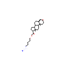 CC12CCC(=O)C=C1CCC1C2CCC2(C)C(C(=O)COCCCCCN=[N+]=[N-])CCC12